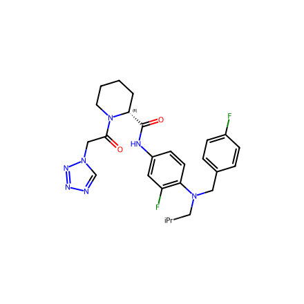 CC(C)CN(Cc1ccc(F)cc1)c1ccc(NC(=O)[C@H]2CCCCN2C(=O)Cn2cnnn2)cc1F